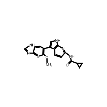 COc1nc2nc[nH]c2cc1-c1c[nH]c2nc(NC(=O)C3CC3)ccc12